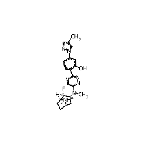 Cc1cnn(-c2ccc(-c3ncc(N(C)[C@@H]4CC5CC[C@H](N5)[C@@H]4F)nn3)c(O)c2)c1